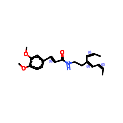 C\C=C/C=C(\C=C/C)CCNC(=O)/C=C/c1ccc(OC)c(OC)c1